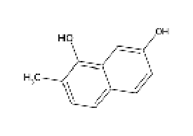 Cc1ccc2ccc(O)cc2c1O